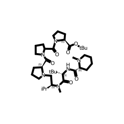 CC(C)[C@@H](CN1CCC[C@H]1C(=O)N1CCCC1C(=O)N1CCC[C@H]1C(=O)OC(C)(C)C)N(C)C(=O)[C@@H](NC(=O)[C@H]1CCCCN1C)C(C)(C)C